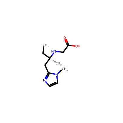 CC[C@](C)(Cc1nccn1C)NCC(=O)O